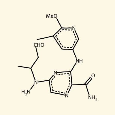 COc1ncc(Nc2nc(N(N)C(C)CC=O)cnc2C(N)=O)cc1C